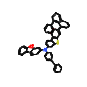 c1ccc(-c2ccc(N(c3ccc4c(c3)oc3ccccc34)c3ccc4c(c3)sc3cc(-c5cccc6cccc(-c7ccccc7)c56)ccc34)cc2)cc1